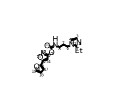 CCc1nccn1CCCNC(=O)Oc1cc(-c2ccco2)on1